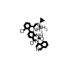 N/C(=C\N(N)C1CC1)c1cccc(Cl)c1-c1ccc2c(=O)n(-c3cncc4ccccc34)c(=O)[nH]c2c1